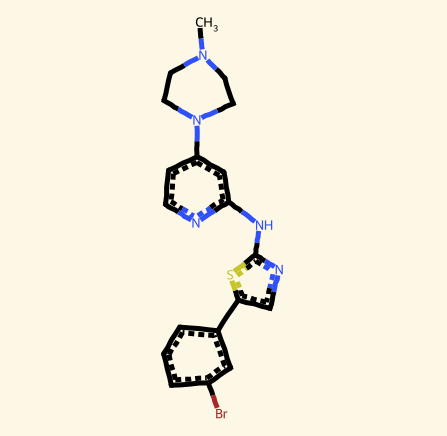 CN1CCN(c2ccnc(Nc3ncc(-c4cccc(Br)c4)s3)c2)CC1